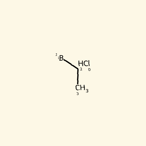 Cl.[B]CC